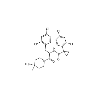 CC1(N)CCN(C(=O)C(Cc2ccc(Cl)cc2Cl)NC(=O)C2(c3ccc(Cl)cc3Cl)CC2)CC1